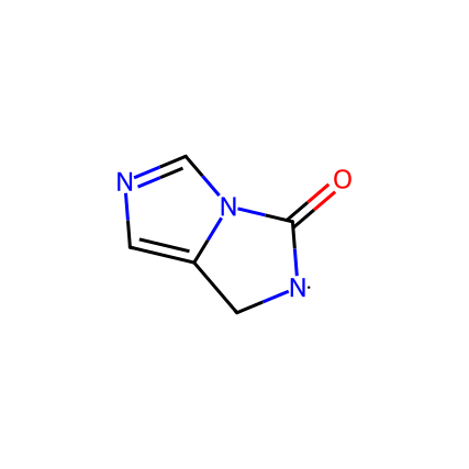 O=C1[N]Cc2cncn21